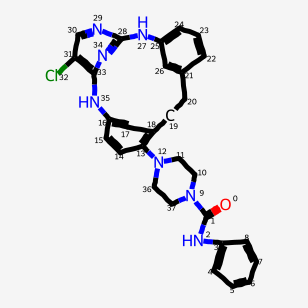 O=C(Nc1ccccc1)N1CCN(c2ccc3cc2CCc2cccc(c2)Nc2ncc(Cl)c(n2)N3)CC1